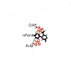 C=C(C)C1CCC(C)=CC1c1c(OP(C)(=O)OCOC(C)=O)cc(CCCCC)cc1OP(C)(=O)OCOC(C)=O